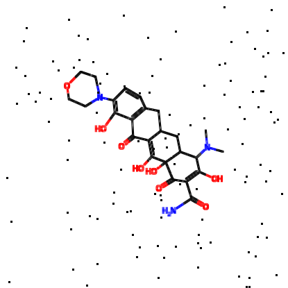 CN(C)C1C(O)=C(C(N)=O)C(=O)C2(O)C(O)=C3C(=O)c4c(ccc(N5CCOCC5)c4O)CC3CC12